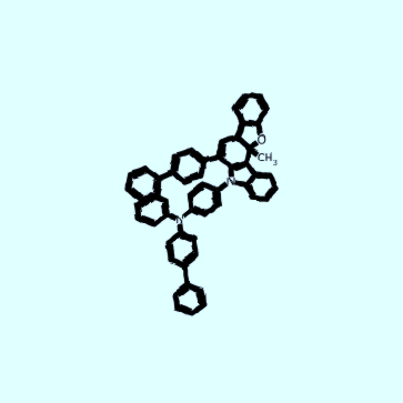 CC12OC3C=CC=CC3C1C=C(c1ccc(-c3ccccc3)cc1)c1c2c2ccccc2n1-c1ccc(N(c2ccccc2)c2ccc(-c3ccccc3)cc2)cc1